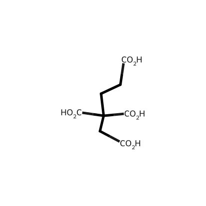 O=C(O)CCC(CC(=O)O)(C(=O)O)C(=O)O